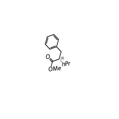 CCC[C@@H](Cc1ccccc1)C(=O)OC